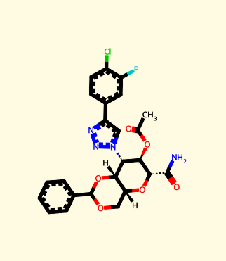 CC(=O)O[C@@H]1[C@@H](n2cc(-c3ccc(Cl)c(F)c3)nn2)[C@H]2OC(c3ccccc3)OC[C@H]2O[C@H]1C(N)=O